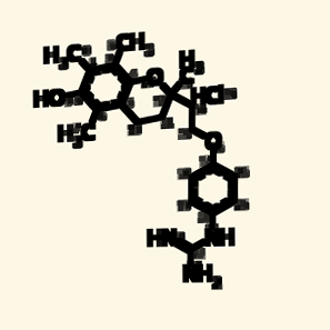 Cc1c(C)c2c(c(C)c1O)CCC(C)(CCOc1ccc(NC(=N)N)cc1)O2.Cl